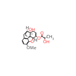 COc1ccc2c3c1O[C@@H]1C(OC(=O)[C@H](C)O)=CC[C@]4(O)[C@@H](CCC[C@@]314)C2